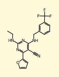 CCNc1nc(NCc2cccc(C(F)(F)F)c2)c(C#N)c(-c2ccco2)n1